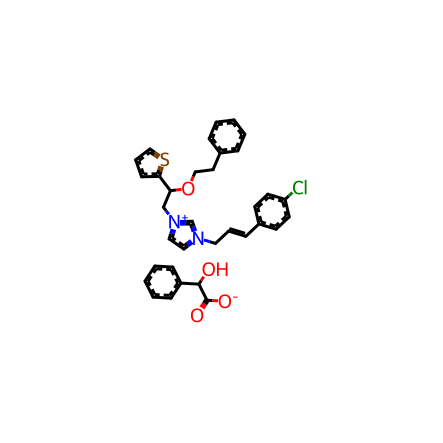 Clc1ccc(C=CCn2cc[n+](CC(OCCc3ccccc3)c3cccs3)c2)cc1.O=C([O-])C(O)c1ccccc1